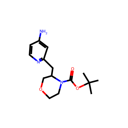 CC(C)(C)OC(=O)N1CCOCC1Cc1cc(N)ccn1